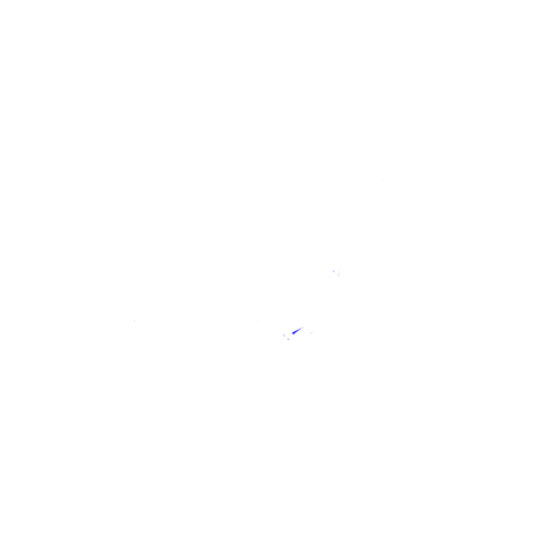 CC(C)CCN1CCC[C@@H](NC(=O)c2cc3c(Cl)cccc3s2)C1